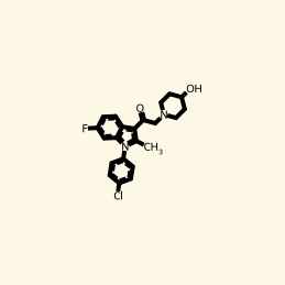 Cc1c(C(=O)CN2CCC(O)CC2)c2ccc(F)cc2n1-c1ccc(Cl)cc1